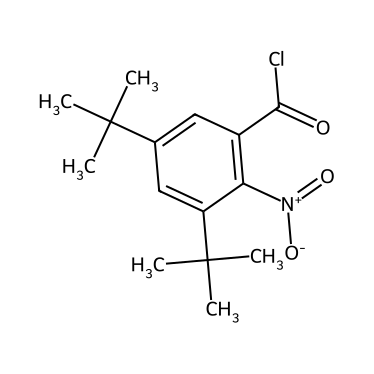 CC(C)(C)c1cc(C(=O)Cl)c([N+](=O)[O-])c(C(C)(C)C)c1